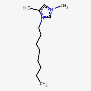 CCCCCCCCn1c[n+](C)cc1C